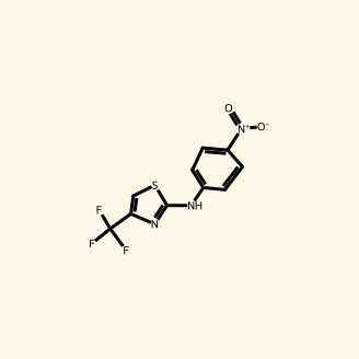 O=[N+]([O-])c1ccc(Nc2nc(C(F)(F)F)cs2)cc1